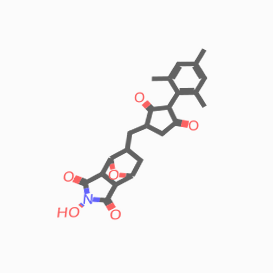 Cc1cc(C)c(C2C(=O)CC(CC3CC4OC3C3C(=O)N(O)C(=O)C43)C2=O)c(C)c1